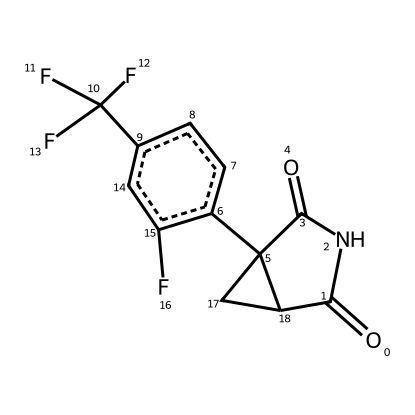 O=C1NC(=O)C2(c3ccc(C(F)(F)F)cc3F)CC12